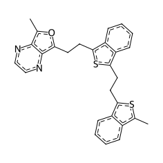 Cc1sc(CCc2sc(CCc3oc(C)c4nccnc34)c3ccccc23)c2ccccc12